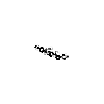 Cl.O=S(=O)(c1ccc(-c2ncco2)cc1)N1Cc2cnc([C@@H](O)c3cccc(N4CCNCC4)c3)cc2C1